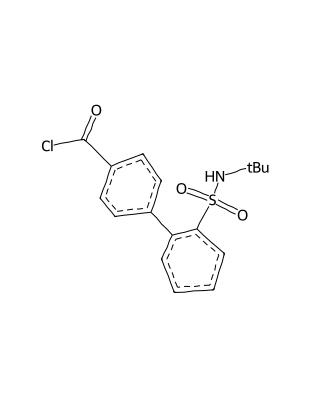 CC(C)(C)NS(=O)(=O)c1ccccc1-c1ccc(C(=O)Cl)cc1